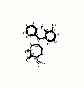 N[C@@H]1CC[C@@H](C(c2ccccn2)c2cccc(F)c2F)CNC1=O